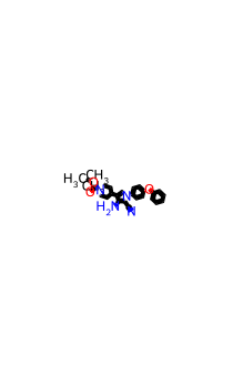 CC(C)(C)OC(=O)N1CCC(c2cn(-c3ccc(Oc4ccccc4)cc3)c(C#N)c2N)CC1